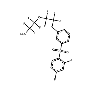 O=S(=O)(c1cccc(SC(F)(F)C(F)(F)OC(F)(F)C(F)(F)S(=O)(=O)O)c1)c1ccc(F)cc1F